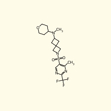 Cc1nc(C(F)(F)F)ncc1S(=O)(=O)N1CC2(CC(N(C)C3CCOCC3)C2)C1